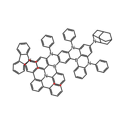 c1ccc(-c2cccc(-c3ccccc3)c2N2c3ccccc3B3c4cc5c(cc4N(c4ccccc4)c4cc(-n6c7ccccc7c7ccccc76)cc2c43)N(c2ccccc2)c2cc(N3C4CC6CC(C4)CC3C6)cc3c2B5c2ccccc2N3c2ccccc2)cc1